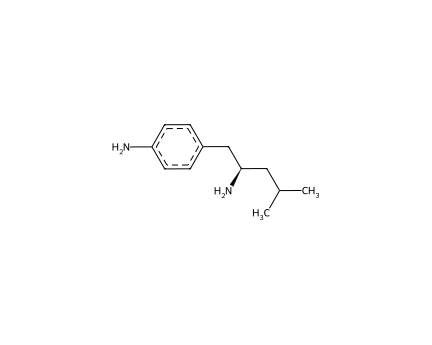 CC(C)C[C@@H](N)Cc1ccc(N)cc1